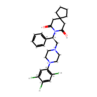 O=C1CC2(CCCC2)CC(=O)N1[C@@H](CN1CCN(c2cc(F)c(F)cc2F)CC1)c1ccccc1